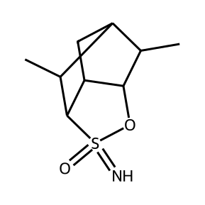 CC1C2CC3C1OS(=N)(=O)C3C2C